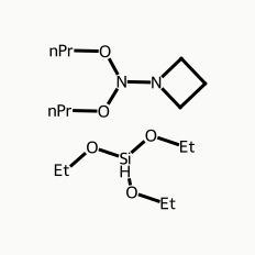 CCCON(OCCC)N1CCC1.CCO[SiH](OCC)OCC